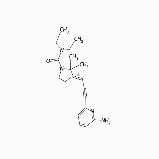 CCN(CC)C(=O)N1CC/C(=C\C#Cc2cccc(N)n2)C1(C)C